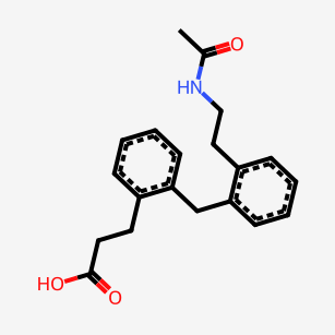 CC(=O)NCCc1ccccc1Cc1ccccc1CCC(=O)O